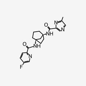 Cc1cncc(C(=O)N[C@@]23CCC[C@@](NC(=O)c4ccc(F)cn4)(CC2)C3)n1